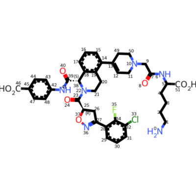 NCCCCC(NC(=O)CN1CC=C(c2cccc3c2CCN(C(=O)[C@H]2CC(c4cccc(Cl)c4F)=NO2)[C@@H]3C(=O)Nc2ccc(C(=O)O)cc2)CC1)C(=O)O